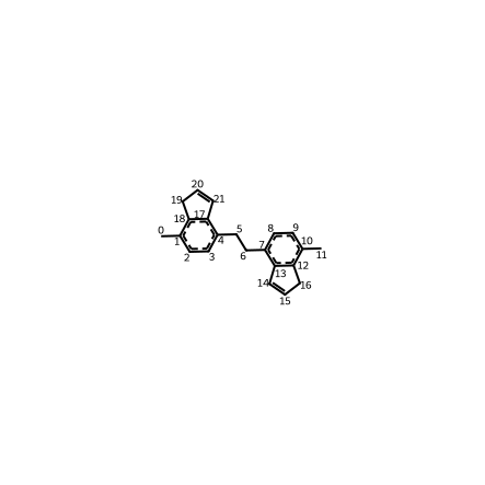 Cc1ccc(CCc2ccc(C)c3c2C=CC3)c2c1CC=C2